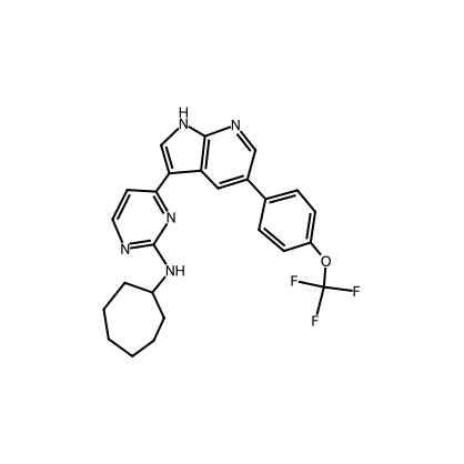 FC(F)(F)Oc1ccc(-c2cnc3[nH]cc(-c4ccnc(NC5CCCCCC5)n4)c3c2)cc1